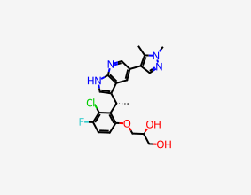 Cc1c(-c2cnc3[nH]cc([C@H](C)c4c(OC[C@@H](O)CO)ccc(F)c4Cl)c3c2)cnn1C